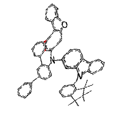 CC1(C)c2cccc(-n3c4ccccc4c4ccc(N(c5ccc6c(c5)oc5ccccc56)c5ccc(-c6ccccc6)cc5-c5ccccc5)cc43)c2C(C)(C)C1(C)C